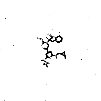 CC1CC1CN(C)c1cc(C(=O)CN(C(=O)OC(C)(C)C)[C@@](C)(Cc2ccccc2)C(N)=O)cc(N(C)S(C)(=O)=O)n1